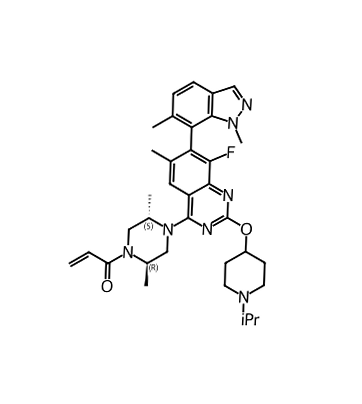 C=CC(=O)N1C[C@H](C)N(c2nc(OC3CCN(C(C)C)CC3)nc3c(F)c(-c4c(C)ccc5cnn(C)c45)c(C)cc23)C[C@H]1C